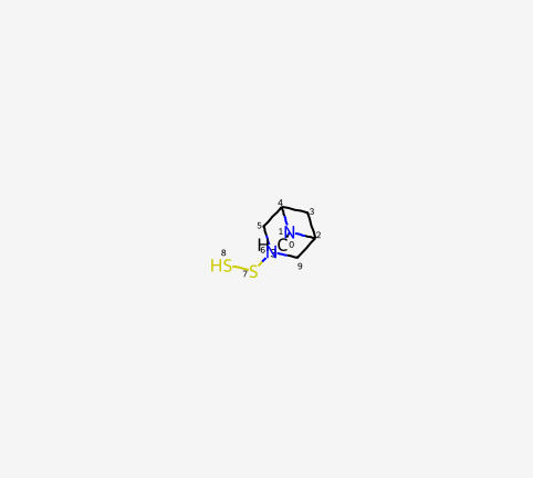 CN1C2CC1CN(SS)C2